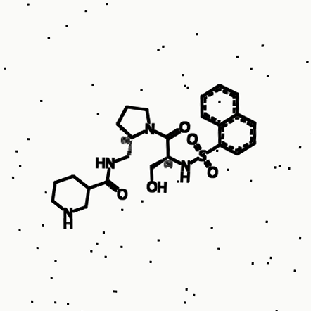 O=C(NC[C@@H]1CCCN1C(=O)[C@H](CO)NS(=O)(=O)c1cccc2ccccc12)C1CCCNC1